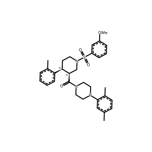 COc1cccc(S(=O)(=O)N2CC[C@H](c3ccccc3C)[C@H](C(=O)N3CCN(c4cc(C)ccc4C)CC3)C2)c1